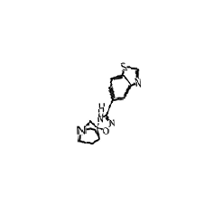 c1nc2cc(C3=NO[C@@]4(CN5CCC4CC5)N3)ccc2s1